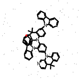 CC1(C)c2ccccc2N(c2ccc(N3c4ccccc4C(C)(C)c4cc(-n5c6ccccc6c6ccccc65)ccc43)c(-n3c4ccccc4c4ccccc43)c2)c2cnccc21